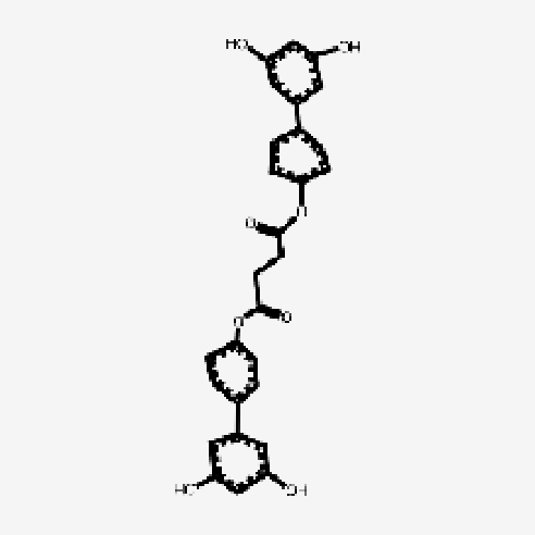 O=C(CCC(=O)Oc1ccc(-c2cc(O)cc(O)c2)cc1)Oc1ccc(-c2cc(O)cc(O)c2)cc1